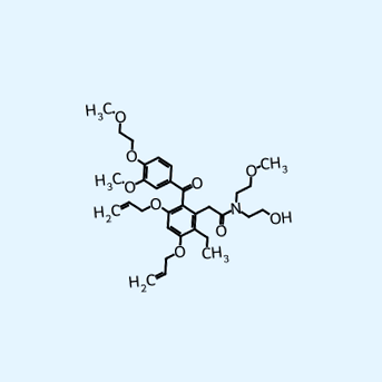 C=CCOc1cc(OCC=C)c(C(=O)c2ccc(OCCOC)c(OC)c2)c(CC(=O)N(CCO)CCOC)c1CC